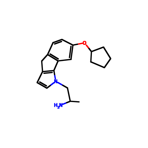 CC(N)Cn1ccc2c1-c1cc(OC3CCCC3)ccc1C2